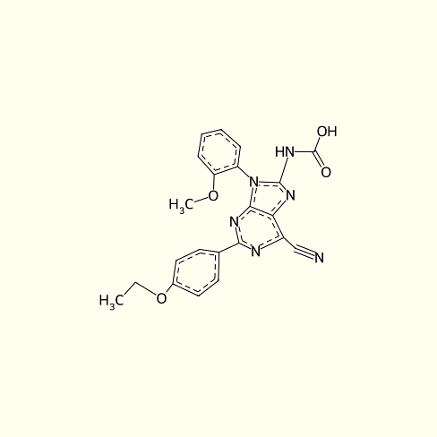 CCOc1ccc(-c2nc(C#N)c3nc(NC(=O)O)n(-c4ccccc4OC)c3n2)cc1